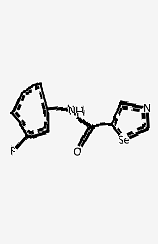 O=C(Nc1cccc(F)c1)c1cnc[se]1